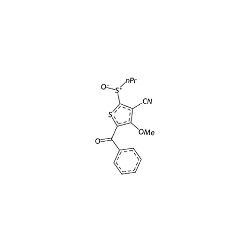 CCC[S+]([O-])c1sc(C(=O)c2ccccc2)c(OC)c1C#N